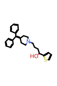 OC(CCCN1CCC(=C(c2ccccc2)c2ccccc2)CC1)c1cccs1